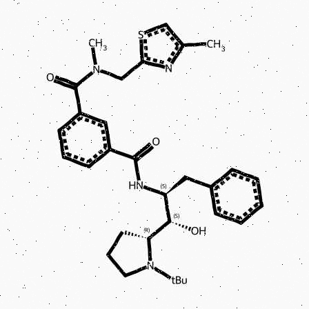 Cc1csc(CN(C)C(=O)c2cccc(C(=O)N[C@@H](Cc3ccccc3)[C@H](O)[C@H]3CCCN3C(C)(C)C)c2)n1